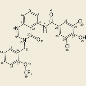 O=C(Nc1cccc2ncn(Cc3ccccc3OC(F)(F)F)c(=O)c12)c1cc(Cl)c(O)c(Cl)c1